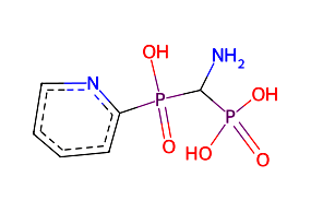 NC(P(=O)(O)O)P(=O)(O)c1ccccn1